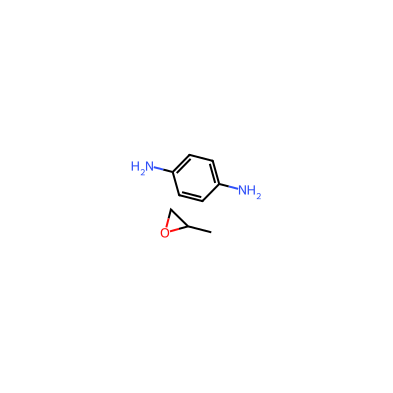 CC1CO1.Nc1ccc(N)cc1